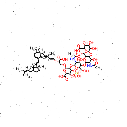 C=C1C(/C=C/C2(C)CCC(CC=C(C)C)C2(C)C)=CCC(C)C1(C)C/C=C(C)/C=C/OC(COC1OC(C(=O)O)C(O)C(OS(=O)(=O)O)C1OC1OC(CO)C(OC2OC(CO)C(OC3OC(C(=O)O)C(O)C(O)C3O)C(O)C2NC(C)=O)C(O)C1NC(C)=O)C(=O)O